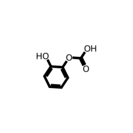 O=C(O)Oc1ccccc1O